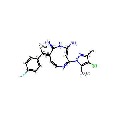 CCOC(=O)c1c(Cl)c(C)nn1C1=N/C=C\C(=C(\NC)c2ccc(F)cc2)C(=N)N\C(N)=C\1